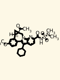 COc1ccc2c(c1)[C@@H]1C[C@]1(C(C)=O)Cn1c-2c(C2CCCCC2)c2ccc(C(=O)NS(=O)(=O)N(C)C)nc21